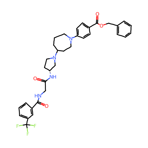 O=C(CNC(=O)c1cccc(C(F)(F)F)c1)N[C@@H]1CCN(C2CCCN(c3ccc(C(=O)OCc4ccccc4)cc3)CC2)C1